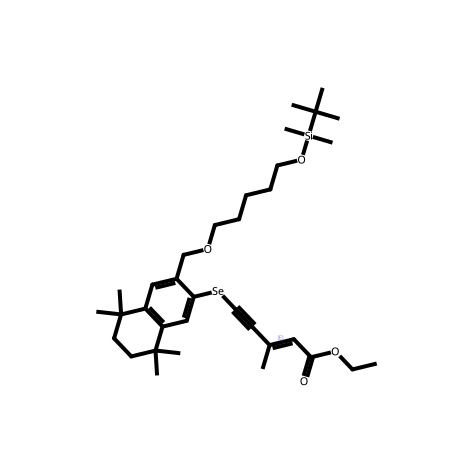 CCOC(=O)/C=C(\C)C#C[Se]c1cc2c(cc1COCCCCCO[Si](C)(C)C(C)(C)C)C(C)(C)CCC2(C)C